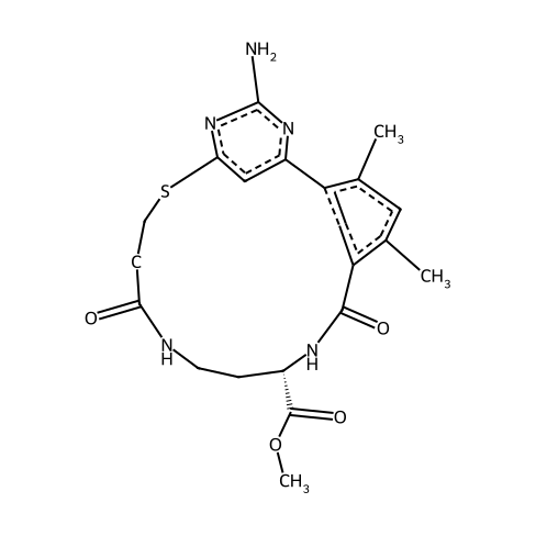 COC(=O)[C@@H]1CCNC(=O)CCSc2cc(nc(N)n2)-c2cc(c(C)cc2C)C(=O)N1